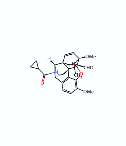 COc1ccc2c3c1O[C@H]1[C@@]4(OC)C=C[C@@]5(C[C@]4(C)C=O)[C@@H](C2)N(C(=O)C2CC2)CC[C@]315